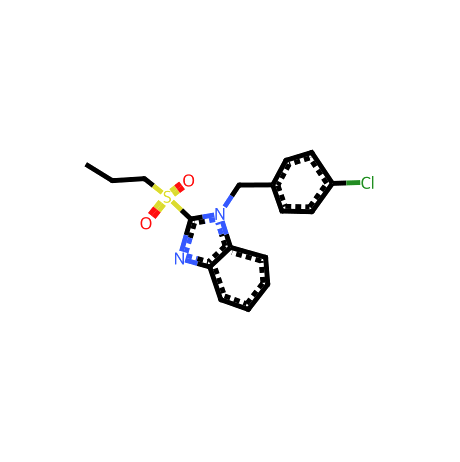 CCCS(=O)(=O)c1nc2ccccc2n1Cc1ccc(Cl)cc1